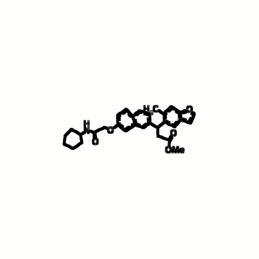 COC(=O)CC(c1ccc2ccc(OCC(=O)NC3CCCCC3)cc2c1)c1cc2ccoc2cc1C